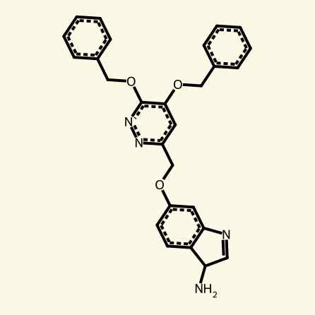 NC1C=Nc2cc(OCc3cc(OCc4ccccc4)c(OCc4ccccc4)nn3)ccc21